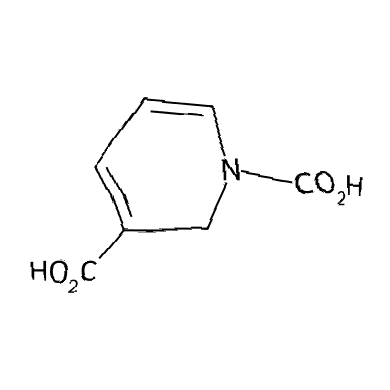 O=C(O)C1=CC=CN(C(=O)O)C1